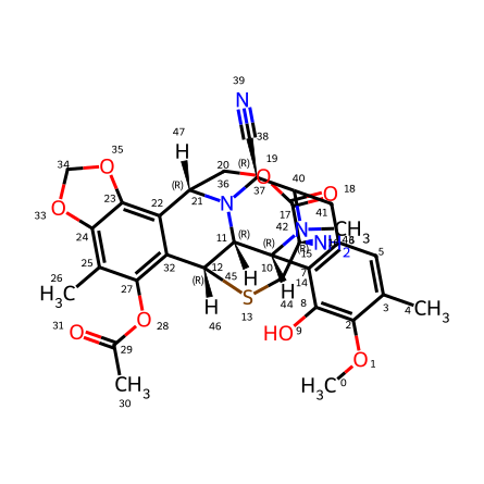 COc1c(C)cc2c(c1O)[C@@H]1[C@@H]3[C@@H]4SC[C@H](N)C(=O)OC[C@@H](c5c6c(c(C)c(OC(C)=O)c54)OCO6)N3[C@@H](C#N)C(C2)N1C